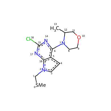 CSCn1ccc2c(N3CCOCC3C)nc(Cl)nc21